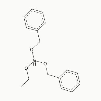 CCO[SiH](OCc1ccccc1)OCc1ccccc1